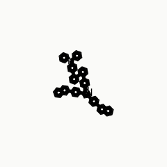 c1ccc(N(c2ccccc2)c2ccc(-c3ccccc3-c3ccccc3-c3ccc(-n4nc(-c5ccc(-c6ccc7ccccc7c6)cc5)cc4-c4ccc(-c5ccc6ccccc6c5)cc4)cc3)cc2)cc1